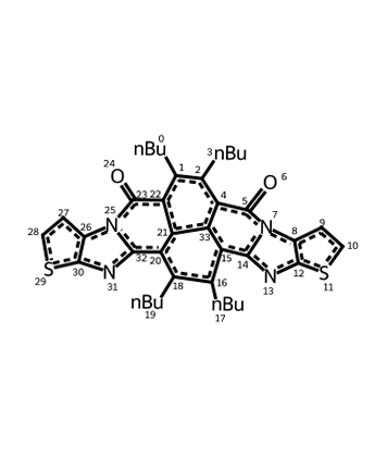 CCCCc1c(CCCC)c2c(=O)n3c4ccsc4nc3c3c(CCCC)c(CCCC)c4c(c1c(=O)n1c5ccsc5nc41)c23